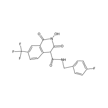 O=C(NCc1ccc(F)cc1)C1C(=O)N(O)C(=O)c2cc(C(F)(F)F)ccc21